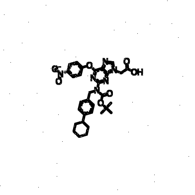 CC(C)(C)OC(=O)N(Cc1ccc(C2CCCCC2)cc1)c1nc(Oc2ccc([N+](=O)[O-])cc2)c2ncn(CC(=O)O)c2n1